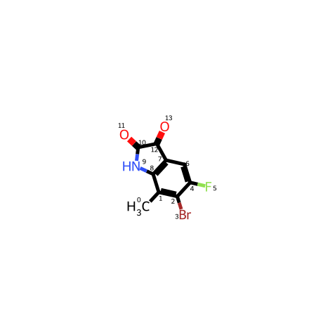 Cc1c(Br)c(F)cc2c1NC(=O)C2=O